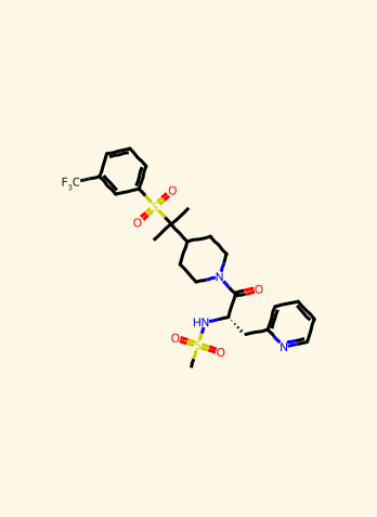 CC(C)(C1CCN(C(=O)[C@H](Cc2ccccn2)NS(C)(=O)=O)CC1)S(=O)(=O)c1cccc(C(F)(F)F)c1